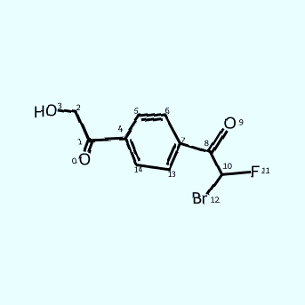 O=C(CO)c1ccc(C(=O)C(F)Br)cc1